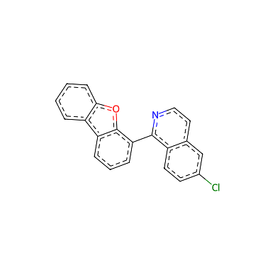 Clc1ccc2c(-c3cccc4c3oc3ccccc34)nccc2c1